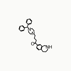 O=C(CCCN1CCN(C(c2ccccc2)c2ccccc2)CC1)c1ccc2c(c1)CNCCC2